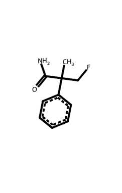 CC(CF)(C(N)=O)c1ccccc1